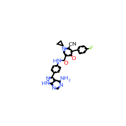 N#Cc1c(-c2ccc(F)cc2)c(=O)c(C(=O)Nc2ccc(-c3n[nH]c4ncnc(N)c34)cc2)cn1C1CC1